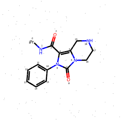 CC(C)NC(=O)c1c2n(c(=O)n1-c1ccccc1)CCNC2